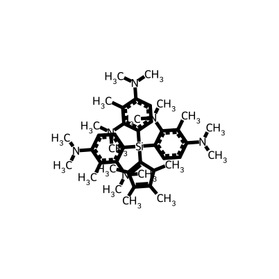 CC1=C(C)C(C)C([Si](c2ccc(N(C)C)c(C)c2N(C)C)(c2ccc(N(C)C)c(C)c2N(C)C)c2ccc(N(C)C)c(C)c2N(C)C)=C1C